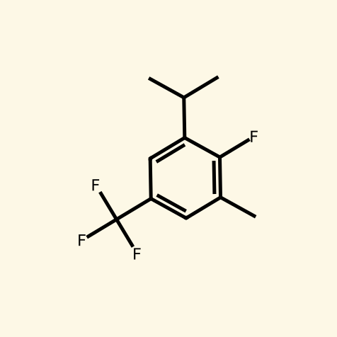 Cc1cc(C(F)(F)F)cc(C(C)C)c1F